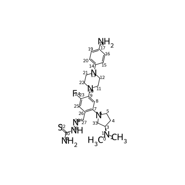 CN(C)[C@@H]1CCN(c2cc(N3CCN(c4ccc(N)cc4)CC3)c(F)cc2/C=N/NC(N)=S)C1